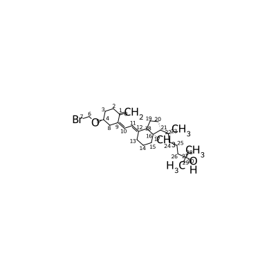 C=C1CC[C@H](OCBr)C/C1=C/C=C1\CCC[C@@]2(C)C1CC[C@@H]2[C@H](C)CCCC(C)(C)O